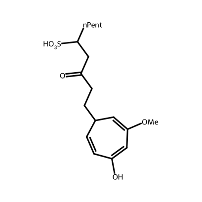 CCCCCC(CC(=O)CCC1C=CC(O)=CC(OC)=C1)S(=O)(=O)O